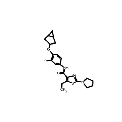 O=C(Nc1ccc(OC2CC3CC3C2)c(F)c1)c1nc(N2CCCC2)sc1CC(F)(F)F